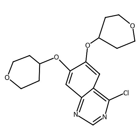 Clc1ncnc2cc(OC3CCOCC3)c(OC3CCOCC3)cc12